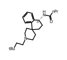 CCCC(=O)N[C@@H]1CCC2(CCN(CCC(C)(C)C)CC2)c2ccccc21